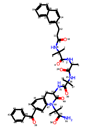 CC(NC(=O)C(C)(C)NC(=O)CCc1ccc2ccccc2c1)C(=O)NC(C)(C)C(=O)NC(Cc1ccc(C(=O)c2ccccc2)cc1)C(=O)NC(C)(C)C(N)=O